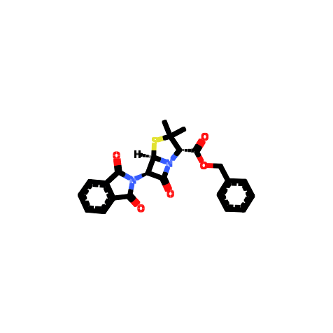 CC1(C)S[C@@H]2[C@H](N3C(=O)c4ccccc4C3=O)C(=O)N2[C@H]1C(=O)OCc1ccccc1